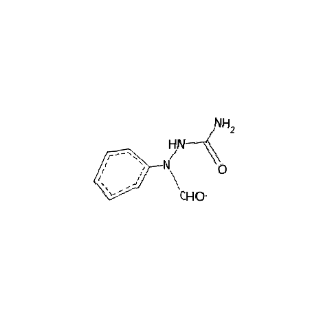 NC(=O)NN([C]=O)c1ccccc1